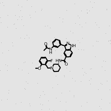 COc1cccc(F)c1CN1CCC[C@@H](NC(=O)c2ccc3[nH]nc(-c4cccc(NC(C)=O)c4)c3c2)C1